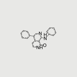 O=c1[nH]ccc2c(-c3ccccc3)cnc(Nc3ccccc3)c12